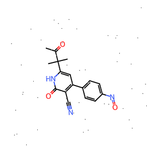 CC(=O)C(C)(C)c1cc(-c2ccc(N=O)cc2)c(C#N)c(=O)[nH]1